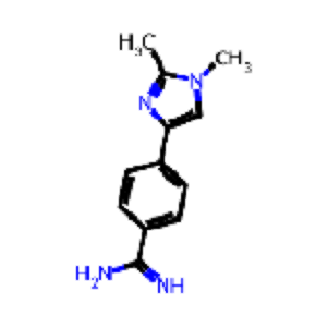 Cc1nc(-c2ccc(C(=N)N)cc2)cn1C